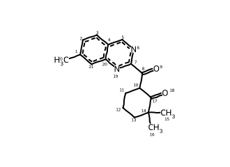 Cc1ccc2cnc(C(=O)C3CCCC(C)(C)C3=O)nc2c1